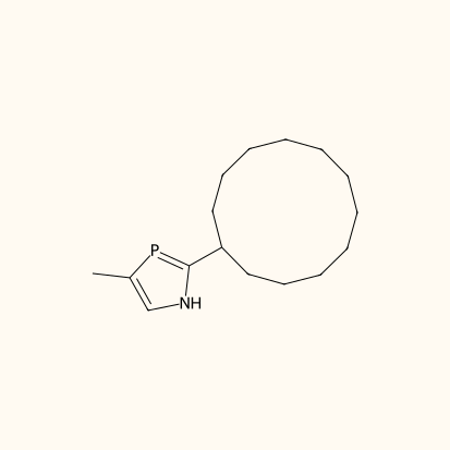 Cc1c[nH]c(C2CCCCCCCCCCC2)p1